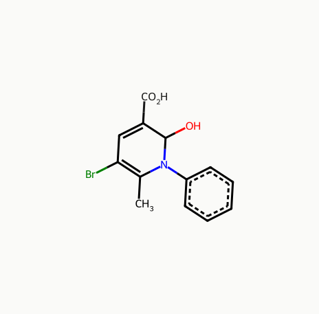 CC1=C(Br)C=C(C(=O)O)C(O)N1c1ccccc1